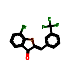 O=C1C(=Cc2cccc(C(F)(F)F)c2)Sc2c(Br)cccc21